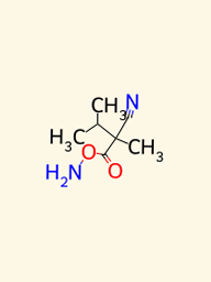 CC(C)C(C)(C#N)C(=O)ON